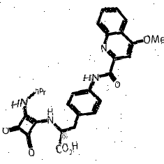 CCCNc1c(N[C@@H](Cc2ccc(NC(=O)c3cc(OC)c4ccccc4n3)cc2)C(=O)O)c(=O)c1=O